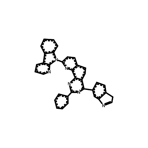 C1=Nc2cc(-c3nc(-c4ccccc4)nc4c3ccc3ccc(-n5c6ccccc6c6cccnc65)nc34)ccc2C1